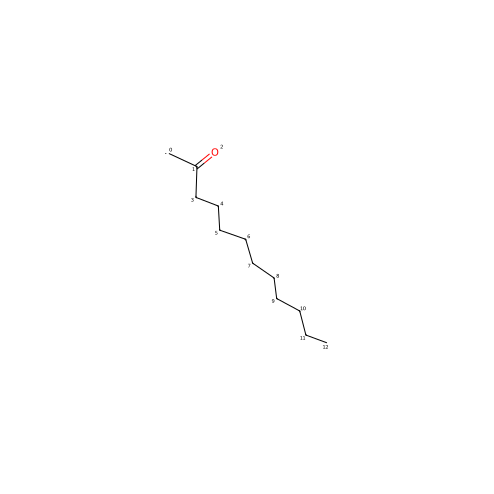 [CH2]C(=O)CCCCCCCCCC